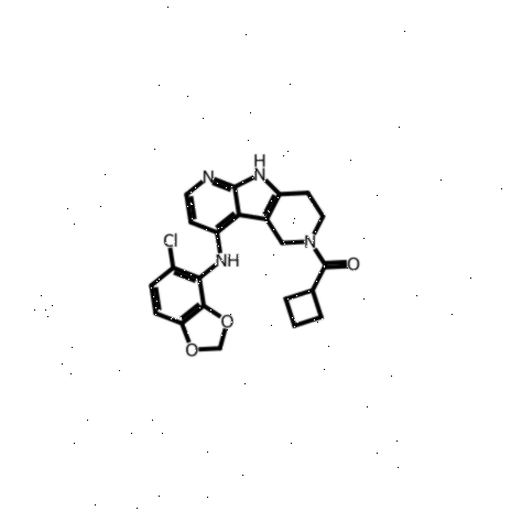 O=C(C1CCC1)N1CCc2[nH]c3nccc(Nc4c(Cl)ccc5c4OCO5)c3c2C1